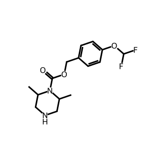 CC1CNCC(C)N1C(=O)OCc1ccc(OC(F)F)cc1